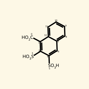 O=C(O)c1c(S(=O)(=O)O)c(S(=O)(=O)O)[c]c2ccccc12